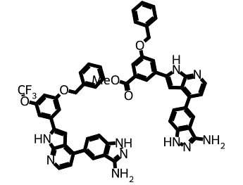 COC(=O)c1cc(OCc2ccccc2)cc(-c2cc3c(-c4ccc5[nH]nc(N)c5c4)ccnc3[nH]2)c1.Nc1n[nH]c2ccc(-c3ccnc4[nH]c(-c5cc(OCc6ccccc6)cc(OC(F)(F)F)c5)cc34)cc12